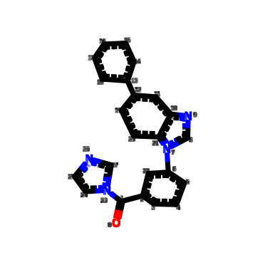 O=C(c1cccc(-n2cnc3cc(-c4ccccc4)ccc32)c1)n1ccnc1